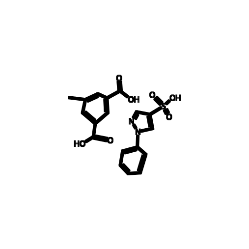 Cc1cc(C(=O)O)cc(C(=O)O)c1.O=S(=O)(O)c1cnn(-c2ccccc2)c1